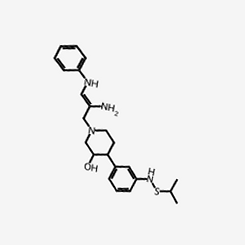 CC(C)SNc1cccc(C2CCN(C/C(N)=C/Nc3ccccc3)CC2O)c1